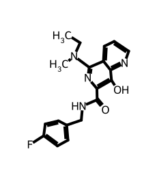 CCN(C)c1nc(C(=O)NCc2ccc(F)cc2)c(O)c2ncccc12